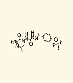 CC1=NNC(=O)N(NC(=O)N/N=C(\C)c2ccc(OC(F)(F)F)cc2)C1